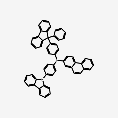 c1ccc(C2(c3ccc(N(c4ccc(-n5c6ccccc6c6ccccc65)cc4)c4ccc5c(ccc6ccccc65)c4)cc3)c3ccccc3-c3ccccc32)cc1